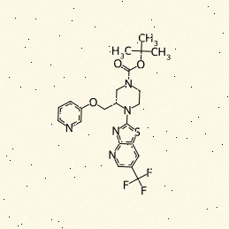 CC(C)(C)OC(=O)N1CCN(c2nc3ncc(C(F)(F)F)cc3s2)C(COc2cccnc2)C1